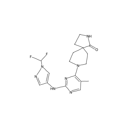 Cc1cnc(Nc2cnn(C(F)F)c2)nc1N1CCC2(CCNC2=O)CC1